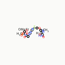 CCOc1cc([C@@H](CS(C)(=O)=O)N2C(=O)c3cccc(N4CCN(C5CCN(CC(F)(F)c6ccc(Oc7ccc8c([C@]9(C)CCC(=O)NC9=O)nn(C)c8c7)cc6)CC5)CC4)c3C2=O)ccc1OC